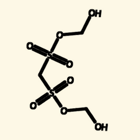 O=S(=O)(CS(=O)(=O)OCO)OCO